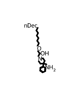 CCCCCCCCCCCCCCCCCCOCC(O)CN1CCC(CN)(c2ccccc2)CC1